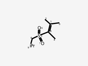 CC(C)=C(C)S(=O)(=O)CC(C)C